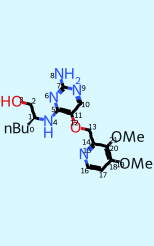 CCCC[C@@H](CO)Nc1nc(N)ncc1OCc1nccc(OC)c1OC